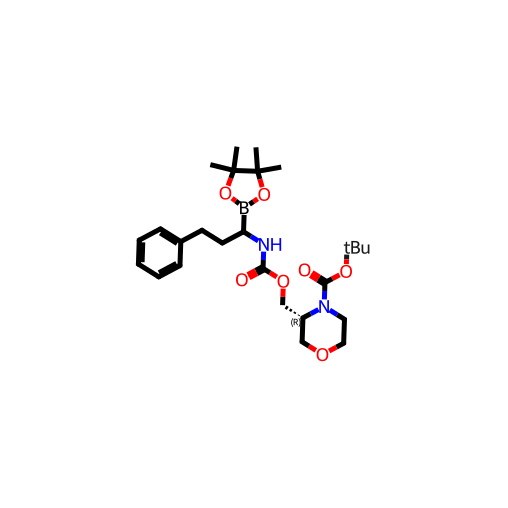 CC(C)(C)OC(=O)N1CCOC[C@@H]1COC(=O)NC(CCc1ccccc1)B1OC(C)(C)C(C)(C)O1